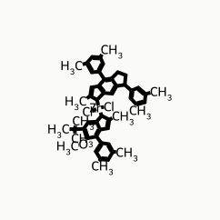 COc1c(C(C)(C)C)cc2c(c1-c1cc(C)cc(C)c1)C=C(C)[CH]2[Zr]([Cl])([Cl])[CH]1C(C)=Cc2c1cc1c(c2-c2cc(C)cc(C)c2)CCC1c1cc(C)cc(C)c1